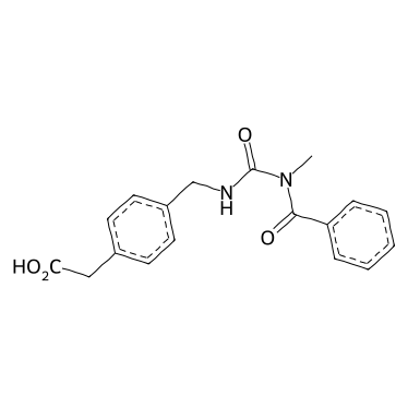 CN(C(=O)NCc1ccc(CC(=O)O)cc1)C(=O)c1ccccc1